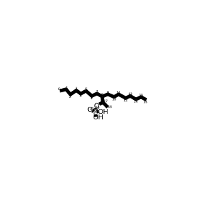 CCCCCCCCC(CCCCCCCC)C(C)OP(=O)(O)O